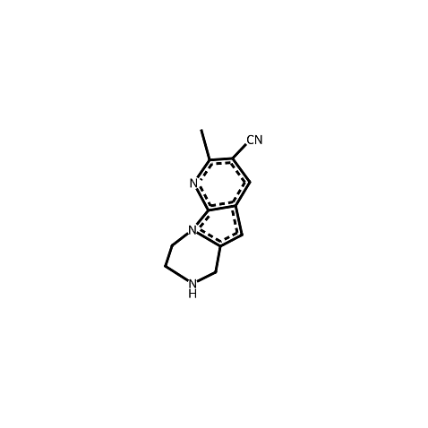 Cc1nc2c(cc1C#N)cc1n2CCNC1